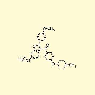 COc1ccc(-c2sc3cc(OC)ccc3c2C(=O)c2ccc(OC3CCN(C)CC3)cc2)cc1